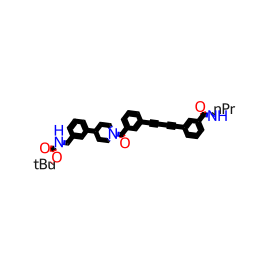 CCCNC(=O)c1cccc(C#CC#Cc2cccc(C(=O)N3CCC(c4cccc(CNC(=O)OC(C)(C)C)c4)CC3)c2)c1